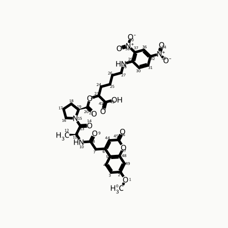 COc1ccc2c(CC(=O)N[C@@H](C)C(=O)N3CCC[C@H]3C(=O)OC(CCCCNc3ccc([N+](=O)[O-])cc3[N+](=O)[O-])C(=O)O)cc(=O)oc2c1